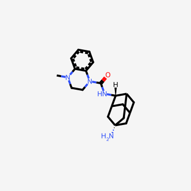 CN1CCN(C(=O)N[C@H]2C3CC4CC2C[C@@](N)(C4)C3)c2ccccc21